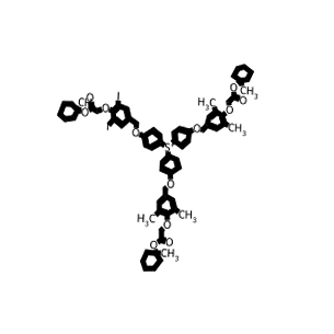 Cc1cc(COc2ccc([S+](c3ccc(OCc4cc(C)c(OCC(=O)OC5(C)CCCCC5)c(C)c4)cc3)c3ccc(OCc4cc(I)c(OCC(=O)OC5(C)CCCCC5)c(I)c4)cc3)cc2)cc(C)c1OCC(=O)OC1(C)CCCCC1